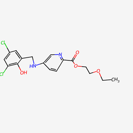 CCOCCOC(=O)c1ccc(NCc2cc(Cl)cc(Cl)c2O)cn1